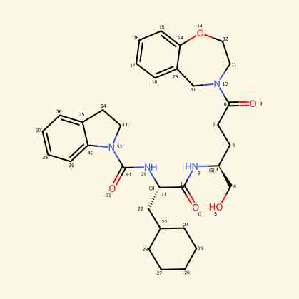 O=C(N[C@H](CO)CCC(=O)N1CCOc2ccccc2C1)[C@H](CC1CCCCC1)NC(=O)N1CCc2ccccc21